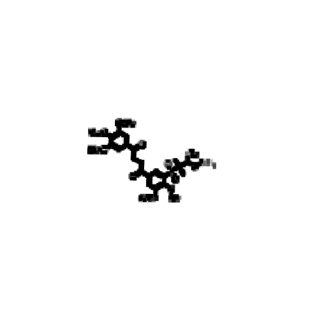 CCCOc1c(OC)cc(C(=O)CCC(=O)c2cc(OC)c(OC)c(OC)c2)cc1S(=O)(=O)C(C)(C)C(O[SiH3])C(C)(C)C